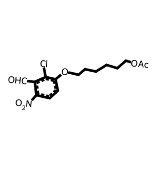 CC(=O)OCCCCCCOc1ccc([N+](=O)[O-])c(C=O)c1Cl